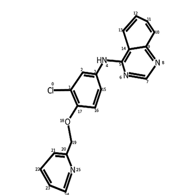 Clc1cc(Nc2ncnc3ccc[c]c23)ccc1OCc1ccccn1